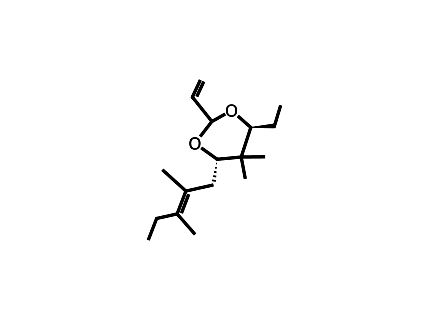 C=CC1O[C@@H](CC)C(C)(C)[C@H](C/C(C)=C(\C)CC)O1